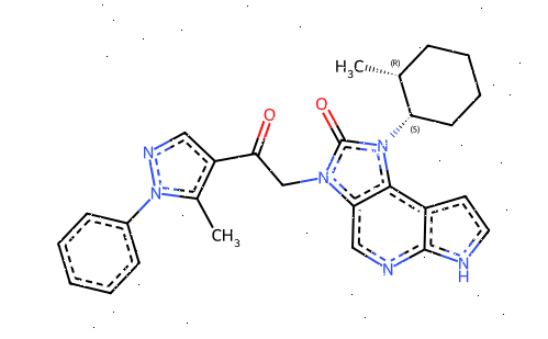 Cc1c(C(=O)Cn2c(=O)n([C@H]3CCCC[C@H]3C)c3c4cc[nH]c4ncc32)cnn1-c1ccccc1